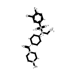 CC(C)N1CCN(C(=O)[C@H]2CC[C@H](N(CC(F)(F)F)S(=O)(=O)c3ccc(F)c(Cl)c3)CC2)CC1